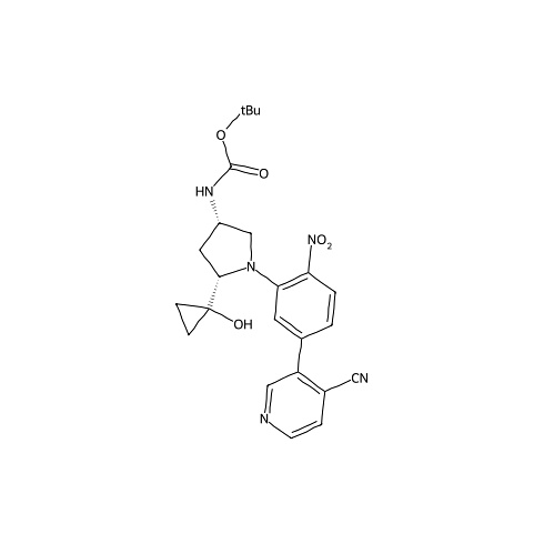 CC(C)(C)OC(=O)N[C@H]1C[C@@H](C2(O)CC2)N(c2cc(-c3cnccc3C#N)ccc2[N+](=O)[O-])C1